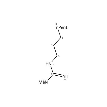 CCCCCCCCNC(=N)NC